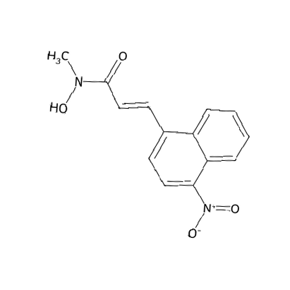 CN(O)C(=O)C=Cc1ccc([N+](=O)[O-])c2ccccc12